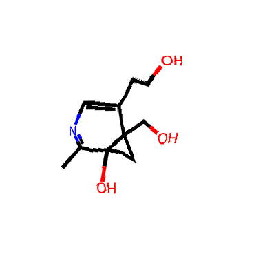 CC1=NC=C(CCO)C2(CO)CC12O